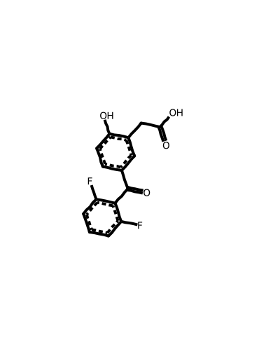 O=C(O)Cc1cc(C(=O)c2c(F)cccc2F)ccc1O